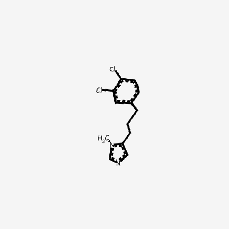 Cn1cncc1CCCc1ccc(Cl)c(Cl)c1